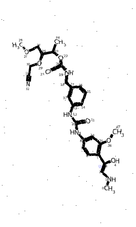 CN/C=C(\O)c1ccc(NC(=O)Nc2cccc(CNC(=O)OC(C)C(COC)OCC#N)c2)cc1OC